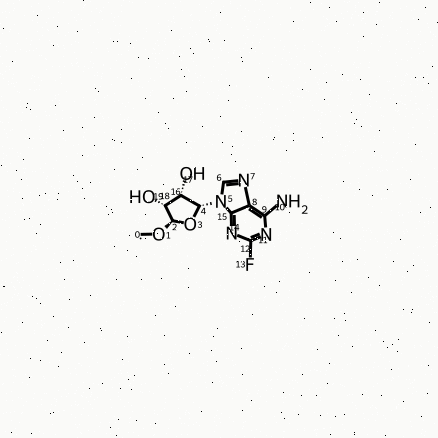 [CH2]O[C@@H]1O[C@@H](n2cnc3c(N)nc(F)nc32)[C@@H](O)[C@H]1O